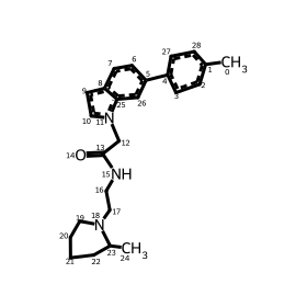 Cc1ccc(-c2ccc3ccn(CC(=O)NCCN4CCCCC4C)c3c2)cc1